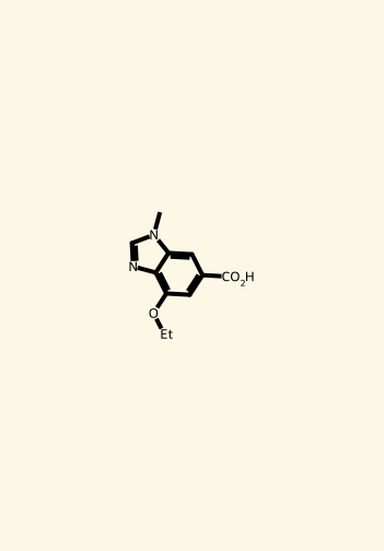 CCOc1cc(C(=O)O)cc2c1ncn2C